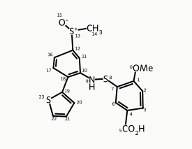 COc1ccc(C(=O)O)cc1SNc1cc([S+](C)[O-])ccc1-c1cccs1